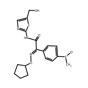 C[S+]([O-])c1ccc(/C(=N\OC2CCCC2)C(=O)Nc2ncc(CO)s2)cc1